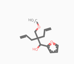 C=CCC(CC=C)(COC(=O)O)C(O)c1ccco1